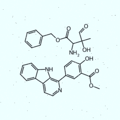 CC(O)(C=O)C(N)C(=O)OCc1ccccc1.COC(=O)c1cc(-c2nccc3c2[nH]c2ccccc23)ccc1O